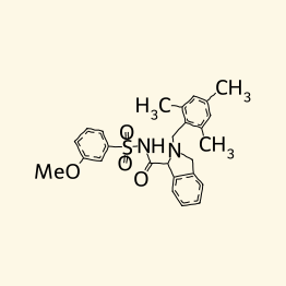 COc1cccc(S(=O)(=O)NC(=O)C2c3ccccc3CN2Cc2c(C)cc(C)cc2C)c1